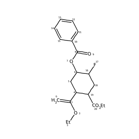 C=C(OCC)C1CC(OC(=O)c2ccccc2)C(F)CC1C(=O)OCC